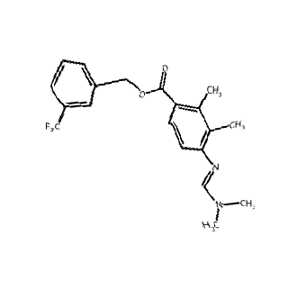 Cc1c(/N=C/N(C)C)ccc(C(=O)OCc2cccc(C(F)(F)F)c2)c1C